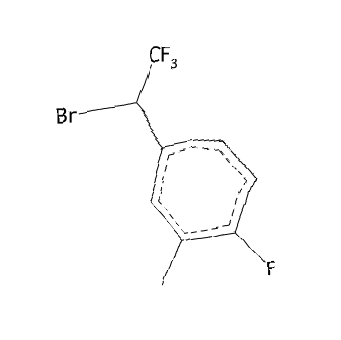 Cc1cc(C(Br)C(F)(F)F)ccc1F